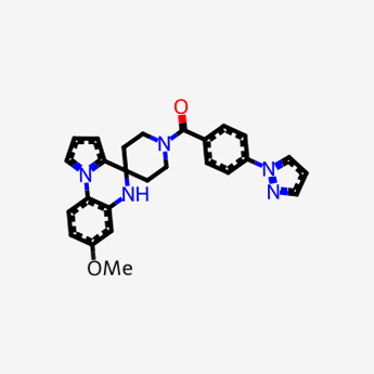 COc1ccc2c(c1)NC1(CCN(C(=O)c3ccc(-n4cccn4)cc3)CC1)c1cccn1-2